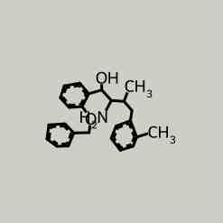 Cc1ccccc1CC(C)C(N)C(O)c1ccccc1OCc1ccccc1